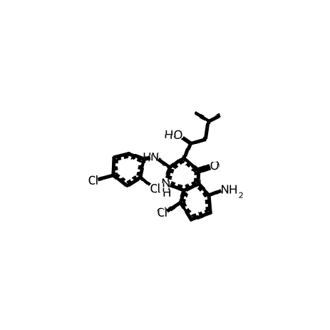 CC(C)CC(O)c1c(Nc2ccc(Cl)cc2Cl)[nH]c2c(Cl)ccc(N)c2c1=O